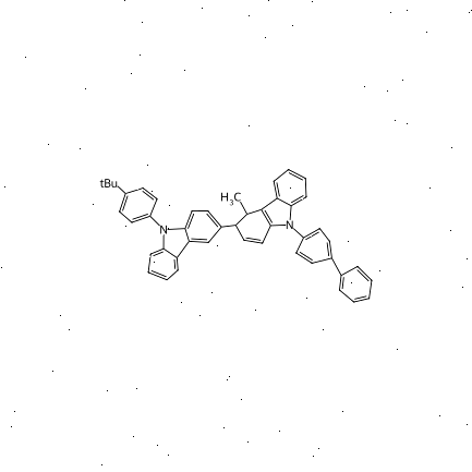 CC1c2c(n(-c3ccc(-c4ccccc4)cc3)c3ccccc23)C=CC1c1ccc2c(c1)c1ccccc1n2-c1ccc(C(C)(C)C)cc1